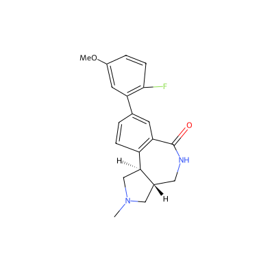 COc1ccc(F)c(-c2ccc3c(c2)C(=O)NC[C@@H]2CN(C)C[C@@H]32)c1